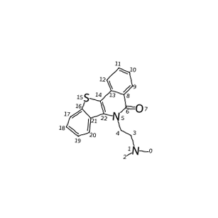 CN(C)CCn1c(=O)c2ccccc2c2sc3ccccc3c21